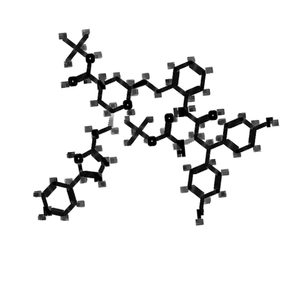 CC(C)(C)OC(=O)N[C@H](C(=O)Nc1ccccc1CC[C@@H]1CN(C(=O)OC(C)(C)C)C[C@@H](CSc2nnc(-c3ccncc3)o2)O1)C(c1ccc(F)cc1)c1ccc(F)cc1